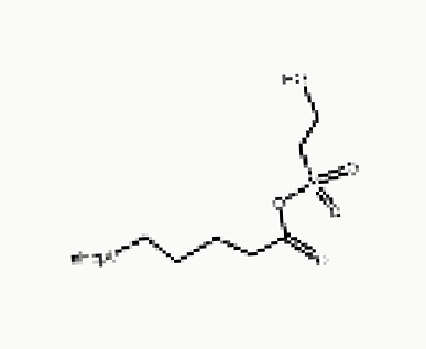 CCCCCCCCCCCC(=O)OS(=O)(=O)CCO